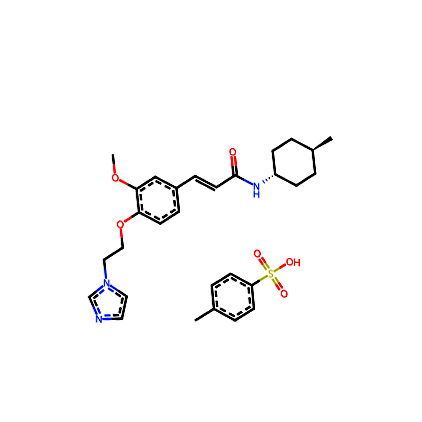 COc1cc(C=CC(=O)N[C@H]2CC[C@H](C)CC2)ccc1OCCn1ccnc1.Cc1ccc(S(=O)(=O)O)cc1